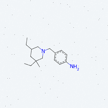 CCC1CN(Cc2ccc(N)cc2)CC(C)(CC)C1